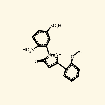 CCOc1ccccc1-c1cc(=O)n(-c2cc(S(=O)(=O)O)ccc2S(=O)(=O)O)[nH]1